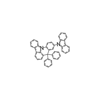 c1ccc(C2(c3ccccc3)c3cc(-n4c5ccccc5c5ccccc54)ccc3-n3c4ccccc4c4cccc2c43)cc1